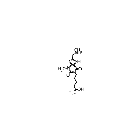 CNCc1nc2c([nH]1)c(=O)n(CCCC[C@@H](C)O)c(=O)n2C